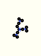 c1cc(-c2ccc(-n3c4ccccc4c4ccccc43)cc2)cc(-c2cc(-c3ccc(-n4c5ccccc5c5ccccc54)cc3)nc(-c3ccc(-n4c5ccccc5c5ccccc54)cc3)n2)c1